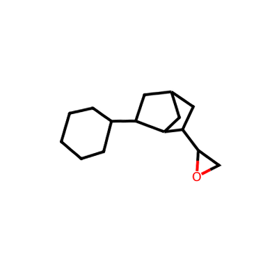 C1CCC(C2CC3CC(C4CO4)C2C3)CC1